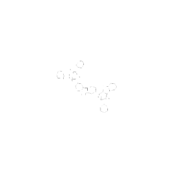 c1ccc(-c2nc(-c3ccccc3)nc(-c3ccc4oc5cc(-c6nc(-c7ccccc7)nc7c6sc6ccccc67)ccc5c4c3)n2)cc1